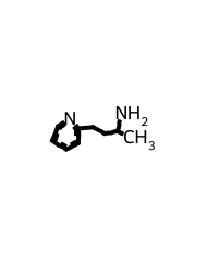 CC(N)CCc1ccccn1